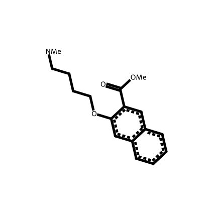 CNCCCCOc1cc2ccccc2cc1C(=O)OC